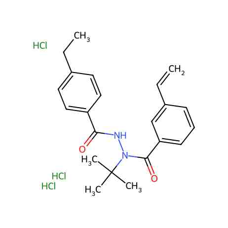 C=Cc1cccc(C(=O)N(NC(=O)c2ccc(CC)cc2)C(C)(C)C)c1.Cl.Cl.Cl